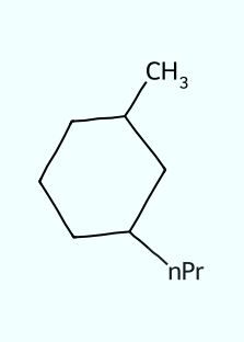 CCCC1CCCC(C)C1